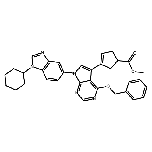 COC(=O)C1CC=C(c2cn(-c3ccc4c(c3)ncn4C3CCCCC3)c3ncnc(OCc4ccccc4)c23)C1